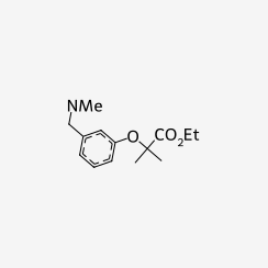 CCOC(=O)C(C)(C)Oc1cccc(CNC)c1